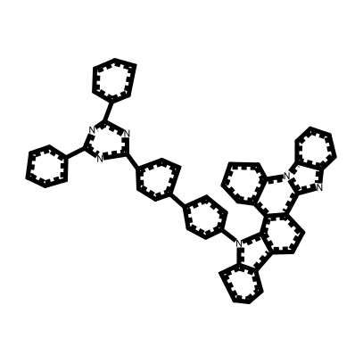 c1ccc(-c2nc(-c3ccccc3)nc(-c3ccc(-c4ccc(-n5c6ccccc6c6ccc7c(c8ccccc8n8c9ccccc9nc78)c65)cc4)cc3)n2)cc1